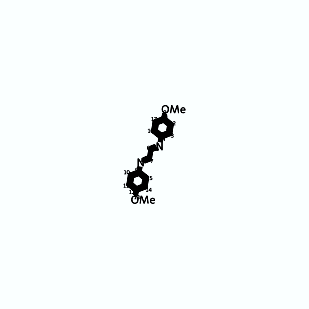 COc1ccc(N=CC=Nc2ccc(OC)cc2)cc1